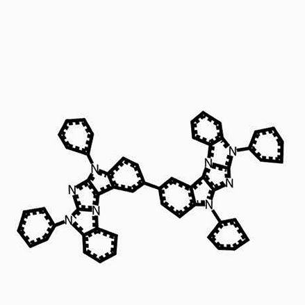 c1ccc(-n2c3ccc(-c4ccc5c(c4)c4c(nc6n(-c7ccccc7)c7ccccc7n46)n5-c4ccccc4)cc3c3c2nc2n(-c4ccccc4)c4ccccc4n32)cc1